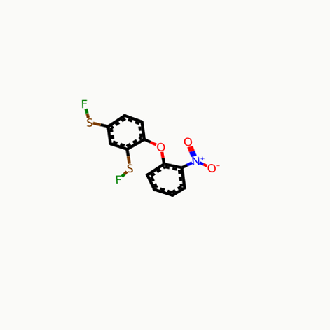 O=[N+]([O-])c1ccccc1Oc1ccc(SF)cc1SF